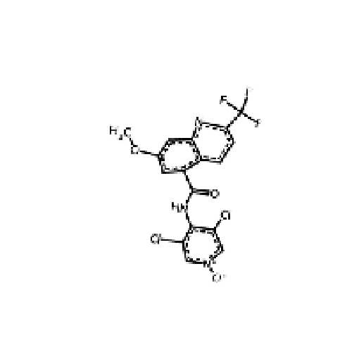 COc1cc(C(=O)Nc2c(Cl)c[n+]([O-])cc2Cl)c2ccc(C(F)(F)F)nc2c1